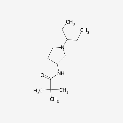 CCC(CC)N1CCC(NC(=O)C(C)(C)C)C1